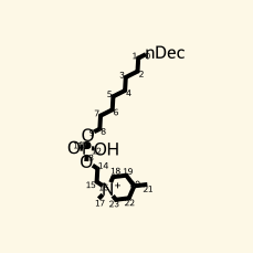 CCCCCCCCCCCCCCCCCCOP(=O)(O)OCC[N+]1(C)CCC(C)CC1